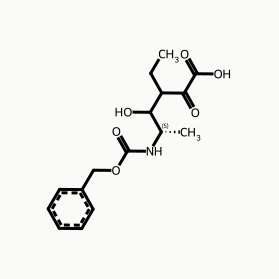 CCC(C(=O)C(=O)O)C(O)[C@H](C)NC(=O)OCc1ccccc1